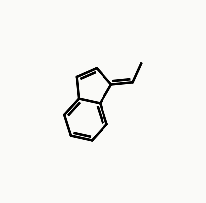 CC=C1C=Cc2ccccc21